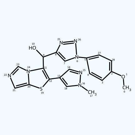 COc1ccc(-n2cc(C(O)c3c(-c4cnn(C)c4)sc4cncn34)nn2)cc1